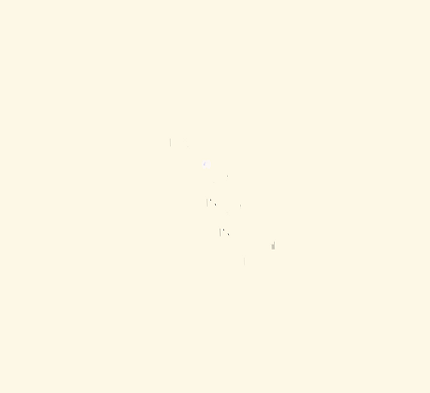 C/C=C(\C)C(=O)NC(=O)NC(C)CC(C)C